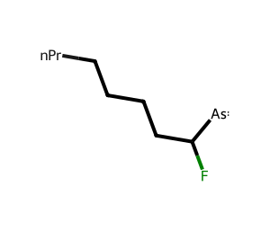 CCCCCCCC(F)[As]